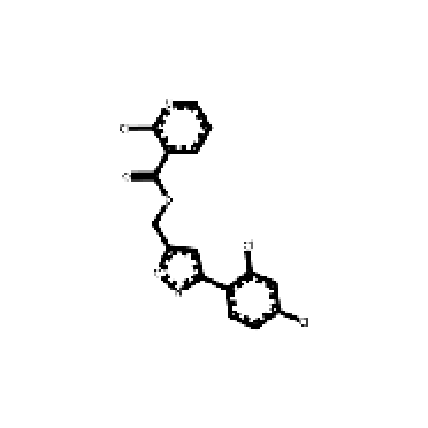 O=C(OCc1cc(-c2ccc(Cl)cc2Cl)no1)c1cccnc1Cl